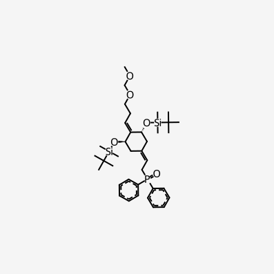 COCOCCC=C1[C@H](O[Si](C)(C)C(C)(C)C)CC(=CCP(=O)(c2ccccc2)c2ccccc2)C[C@H]1O[Si](C)(C)C(C)(C)C